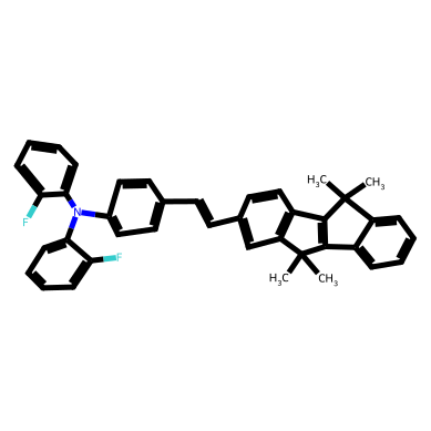 CC1(C)C2=C(c3ccccc31)C(C)(C)c1cc(/C=C/c3ccc(N(c4ccccc4F)c4ccccc4F)cc3)ccc12